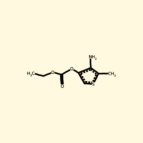 CCOC(=O)Oc1csc(C)c1N